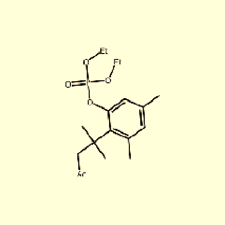 CCOP(=O)(OCC)Oc1cc(C)cc(C)c1C(C)(C)CC(C)=O